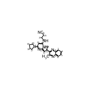 Cc1nc2ccccc2nc1-c1cc2nc(N3CCCC3)cc(NCCC#N)n2n1